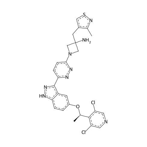 Cc1nscc1CC1(N)CN(c2ccc(-c3n[nH]c4ccc(O[C@H](C)c5c(Cl)cncc5Cl)cc34)nn2)C1